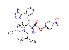 CC(C)CN(CC(C)C)c1ccc(-c2ccccc2-c2nnn[nH]2)cc1NC(=O)Oc1ccc([N+](=O)[O-])cc1